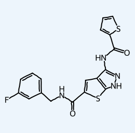 O=C(Nc1n[nH]c2sc(C(=O)NCc3cccc(F)c3)cc12)c1cccs1